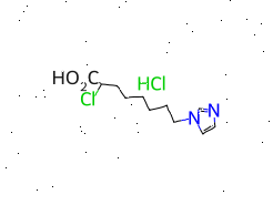 Cl.O=C(O)C(Cl)CCCCCCn1ccnc1